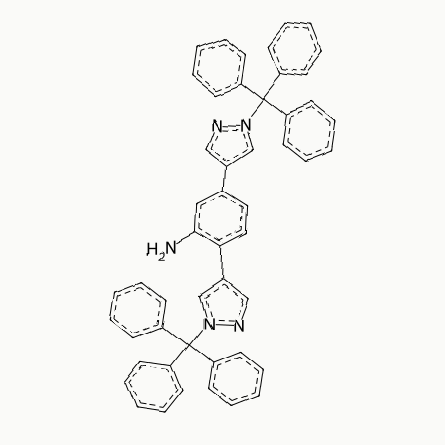 Nc1cc(-c2cnn(C(c3ccccc3)(c3ccccc3)c3ccccc3)c2)ccc1-c1cnn(C(c2ccccc2)(c2ccccc2)c2ccccc2)c1